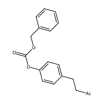 CC(=O)CCc1ccc(OC(=O)OCc2ccccc2)cc1